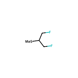 CSC(CF)CF